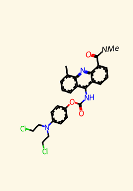 CNC(=O)c1cccc2c(NC(=O)Oc3ccc(N(CCCl)CCCl)cc3)c3cccc(C)c3nc12